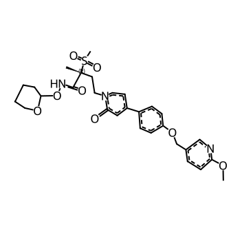 COc1ccc(COc2ccc(-c3ccn(CC[C@](C)(C(=O)NOC4CCCCO4)S(C)(=O)=O)c(=O)c3)cc2)cn1